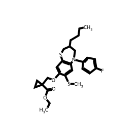 CCCCC1CSc2cc(OCC3(C(=O)OCC)CC3)c(SC)cc2N(c2ccc(F)cc2)C1